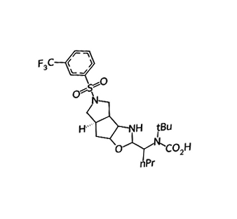 CCCC(C1NC2C(C[C@H]3CN(S(=O)(=O)c4cccc(C(F)(F)F)c4)CC23)O1)N(C(=O)O)C(C)(C)C